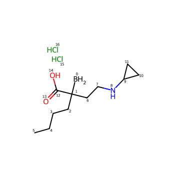 BC(CCCC)(CCNC1CC1)C(=O)O.Cl.Cl